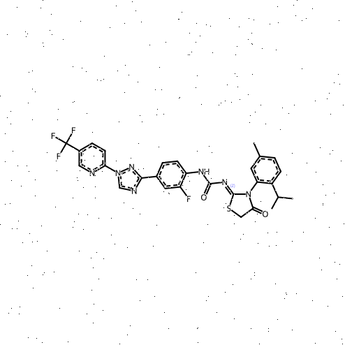 Cc1ccc(C(C)C)c(N2C(=O)CS/C2=N\C(=O)Nc2ccc(-c3ncn(-c4ccc(C(F)(F)F)cn4)n3)cc2F)c1